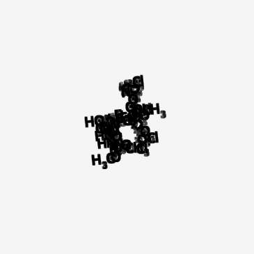 COC(=O)c1cc(Oc2ccc(Cl)cc2Cl)ccc1[N+](=O)[O-].COc1cc(OC)nc(NC(=O)NS(=O)(=O)c2nc(C(F)(F)F)ccc2C(=O)O)n1.O=C(O)COc1ccc(Cl)c2cccnc12